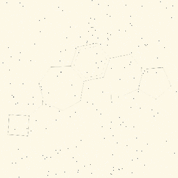 FC(F)(F)C1CCCN1Cc1ccc2c(c1)CCN(C1CCC1)CC2